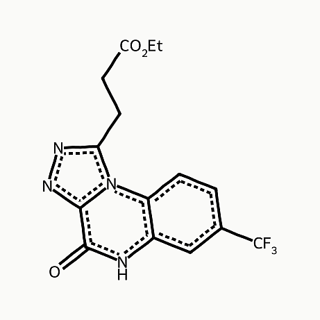 CCOC(=O)CCc1nnc2c(=O)[nH]c3cc(C(F)(F)F)ccc3n12